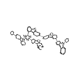 c1ccc(-c2ccc3c(c2)c2ccccc2n3-c2nc(-c3ccc4c(c3)oc3ccccc34)nc(-c3cccc4sc5cc(-c6ccc7c(c6)oc6ccc(-c8ccc9c%10ccccc%10n(-c%10ccccc%10)c9c8)cc67)ccc5c34)n2)cc1